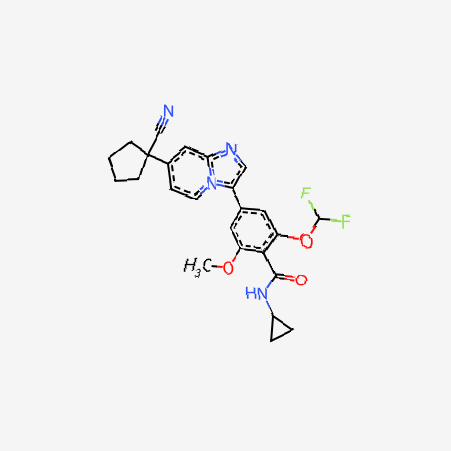 COc1cc(-c2cnc3cc(C4(C#N)CCCC4)ccn23)cc(OC(F)F)c1C(=O)NC1CC1